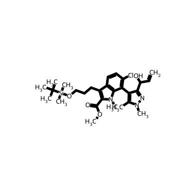 C=CC(O)c1nn(C)c(C)c1-c1c(Cl)ccc2c(CCCO[Si](C)(C)C(C)(C)C)c(C(=O)OC)n(C)c12